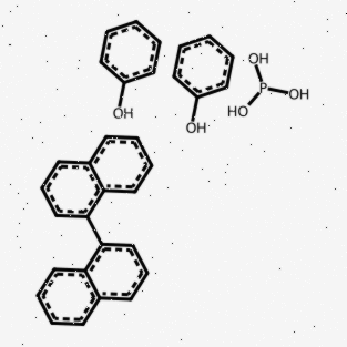 OP(O)O.Oc1ccccc1.Oc1ccccc1.c1ccc2c(-c3cccc4ccccc34)cccc2c1